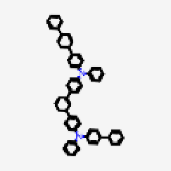 C1=CC(c2ccc(N(c3ccccc3)c3ccc(-c4ccc(-c5ccccc5)cc4)cc3)cc2)=CC(c2ccc(N(c3ccccc3)c3ccc(-c4ccccc4)cc3)cc2)C1